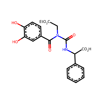 CCOC(=O)CN(C(=O)NC(C(=O)O)c1ccccc1)C(=O)c1ccc(O)c(O)c1